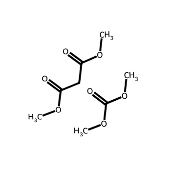 COC(=O)CC(=O)OC.COC(=O)OC